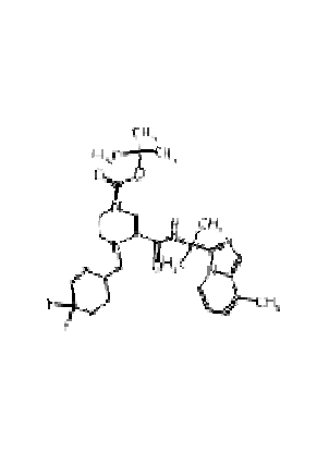 Cc1cccn2c(C(C)(C)NC(=O)[C@@H]3CN(C(=O)OC(C)(C)C)CCN3CC3CCC(F)(F)CC3)ncc12